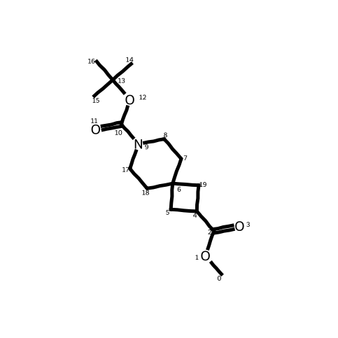 COC(=O)C1CC2(CCN(C(=O)OC(C)(C)C)CC2)C1